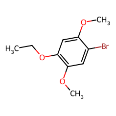 CCOc1cc(OC)c(Br)cc1OC